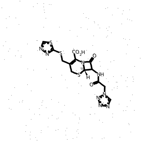 O=C(Cn1cnnn1)NC1C(=O)N2C(C(=O)O)=C(CSc3nncs3)CS[C@@H]12